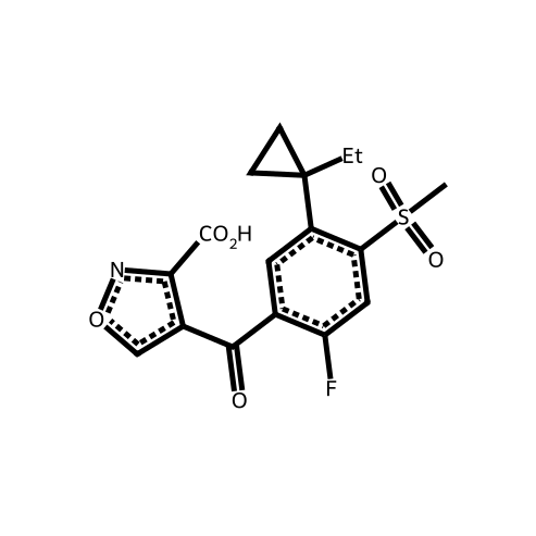 CCC1(c2cc(C(=O)c3conc3C(=O)O)c(F)cc2S(C)(=O)=O)CC1